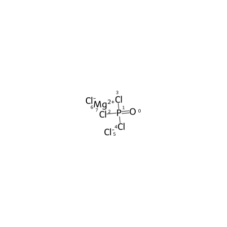 O=P(Cl)(Cl)Cl.[Cl-].[Cl-].[Mg+2]